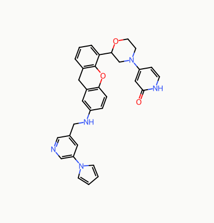 O=c1cc(N2CCOC(c3cccc4c3Oc3ccc(NCc5cncc(-n6cccc6)c5)cc3C4)C2)cc[nH]1